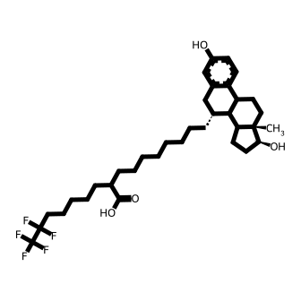 C[C@]12CCC3c4ccc(O)cc4C[C@@H](CCCCCCCCC(CCCCCC(F)(F)C(F)(F)F)C(=O)O)C3C1CC[C@@H]2O